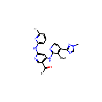 CCC(=O)c1cnc(Nc2cccc(C#N)n2)cc1Nc1nccc(-c2ncn(C)n2)c1OC